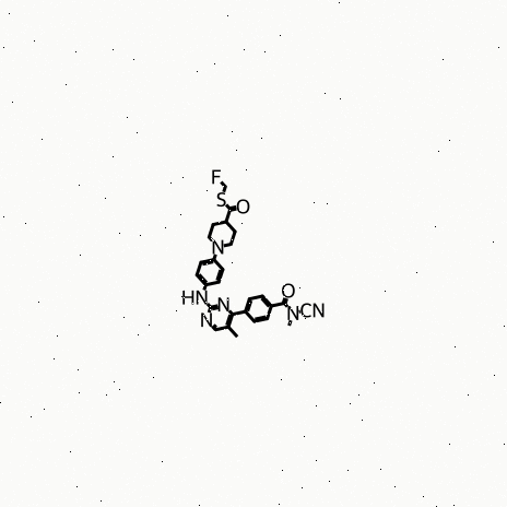 Cc1cnc(Nc2ccc(N3CCC(C(=O)SCF)CC3)cc2)nc1-c1ccc(C(=O)N(C)C#N)cc1